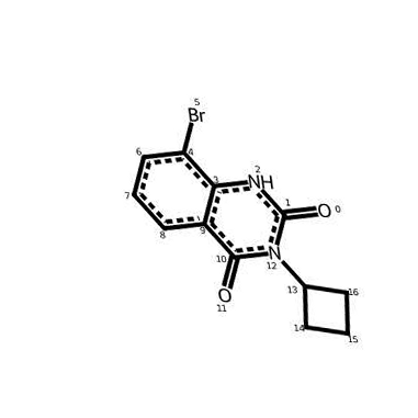 O=c1[nH]c2c(Br)cccc2c(=O)n1C1CCC1